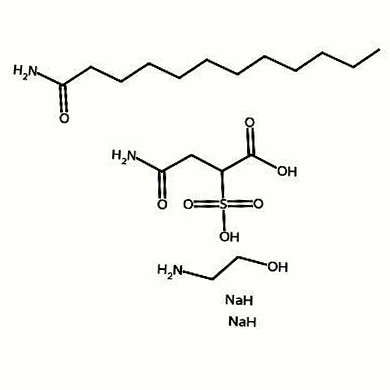 CCCCCCCCCCCC(N)=O.NC(=O)CC(C(=O)O)S(=O)(=O)O.NCCO.[NaH].[NaH]